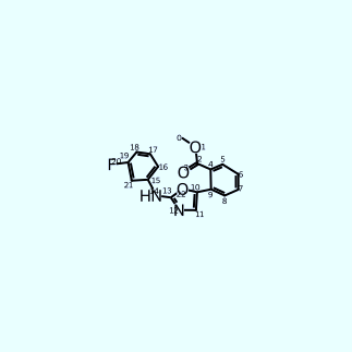 COC(=O)c1ccccc1-c1cnc(Nc2cccc(F)c2)o1